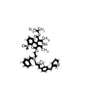 CC1=C(C(=O)OCCN(C/C(C)=C/c2ccc(Cc3cccnc3)cc2)Cc2ccccc2)C(c2cccc([N+](=O)[O-])c2)C(C(=O)OC(C)C)=C(C)N1